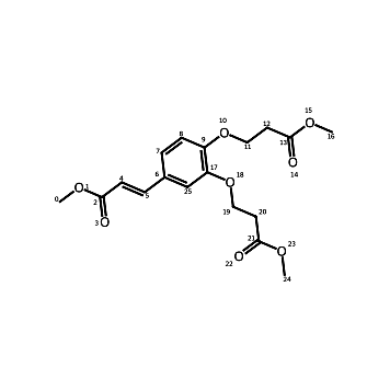 COC(=O)C=Cc1ccc(OCCC(=O)OC)c(OCCC(=O)OC)c1